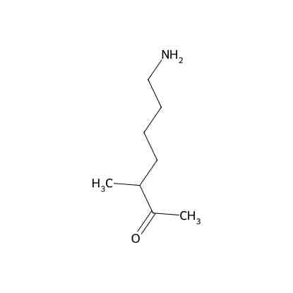 CC(=O)C(C)CCCCN